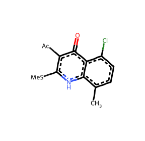 CSc1[nH]c2c(C)ccc(Cl)c2c(=O)c1C(C)=O